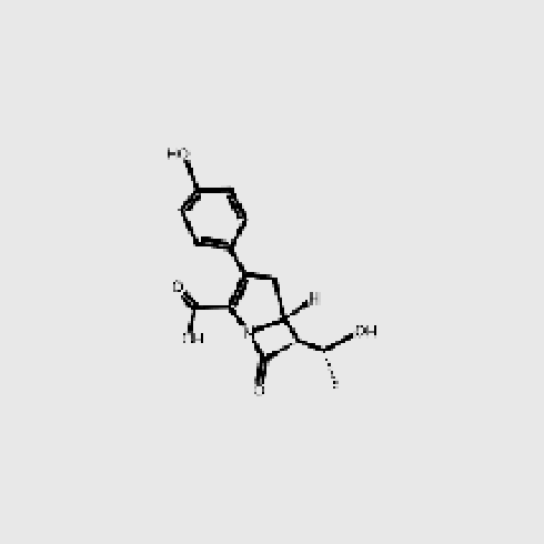 C[C@@H](O)[C@H]1C(=O)N2C(C(=O)O)=C(c3ccc(O)cc3)C[C@H]12